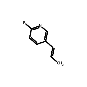 C/C=C/c1ccc(F)nc1